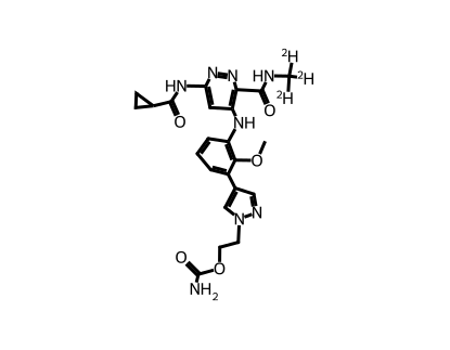 [2H]C([2H])([2H])NC(=O)c1nnc(NC(=O)C2CC2)cc1Nc1cccc(-c2cnn(CCOC(N)=O)c2)c1OC